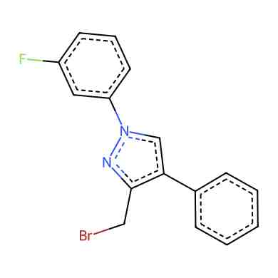 Fc1cccc(-n2cc(-c3ccccc3)c(CBr)n2)c1